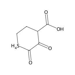 O=C1[SH4]CCC(C(=O)O)C1=O